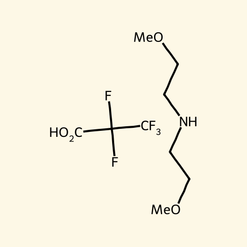 COCCNCCOC.O=C(O)C(F)(F)C(F)(F)F